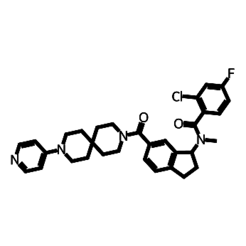 CN(C(=O)c1ccc(F)cc1Cl)C1CCc2ccc(C(=O)N3CCC4(CC3)CCN(c3ccncc3)CC4)cc21